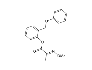 CON=C(C)C(=O)Oc1ccccc1COc1ccccc1